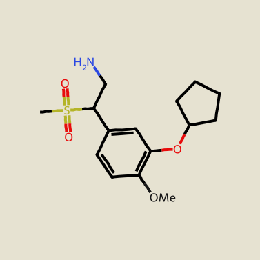 COc1ccc(C(CN)S(C)(=O)=O)cc1OC1CCCC1